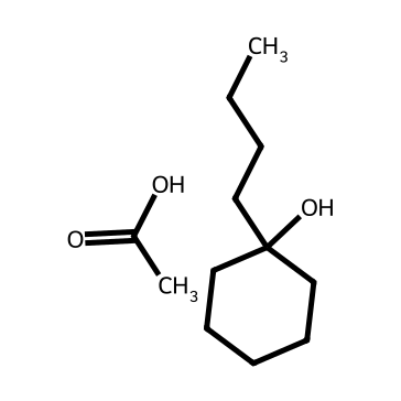 CC(=O)O.CCCCC1(O)CCCCC1